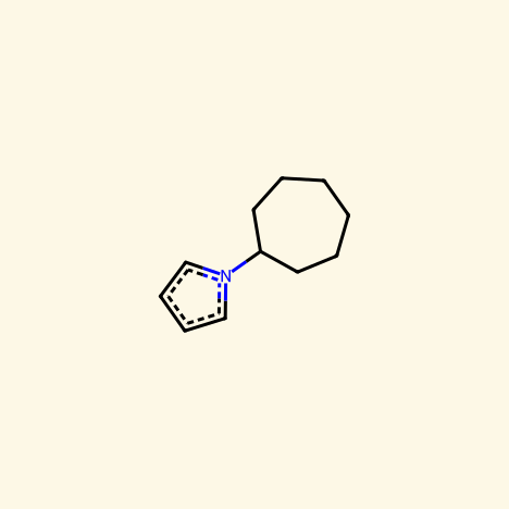 c1ccn(C2CCCCCC2)c1